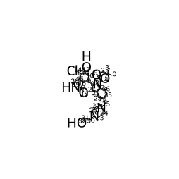 CC(C)(C)OC(=O)n1c(-c2cc(O)c(Cl)c3c2C(=O)NC3)cc2cc(CN3CCN(CCO)CC3)ccc21